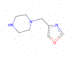 [c]1nc(CN2CCNCC2)co1